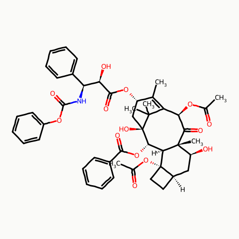 CC(=O)O[C@H]1C(=O)[C@@]2(C)[C@H]([C@H](OC(=O)c3ccccc3)[C@]3(O)C[C@H](OC(=O)[C@H](O)[C@@H](NC(=O)Oc4ccccc4)c4ccccc4)C(C)=C1C3(C)C)[C@]1(OC(C)=O)CC[C@@H]1C[C@@H]2O